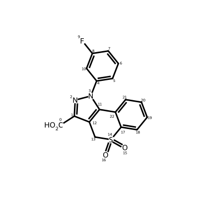 O=C(O)c1nn(-c2cccc(F)c2)c2c1CS(=O)(=O)c1ccccc1-2